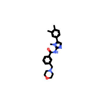 Cc1ccc(-c2cnc(NC(=O)c3cccc(CN4CCOCC4)c3)n2C)cc1C